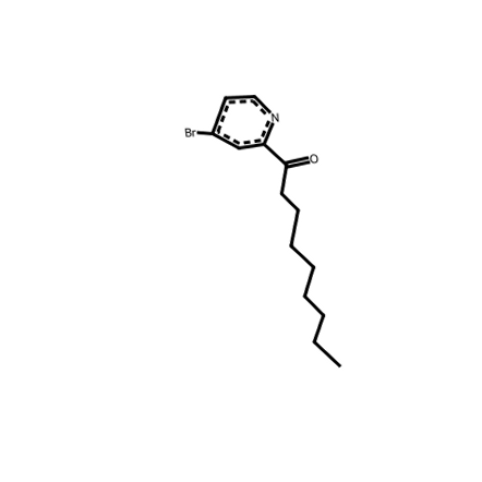 CCCCCCCCC(=O)c1cc(Br)ccn1